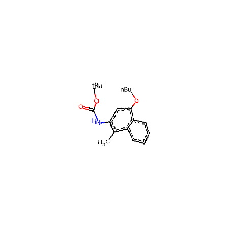 CCCCOc1cc(NC(=O)OC(C)(C)C)c(C)c2ccccc12